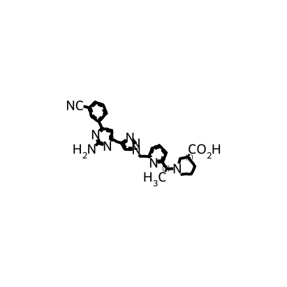 C[C@@H](c1cccc(Cn2cc(-c3cc(-c4cccc(C#N)c4)nc(N)n3)nn2)n1)N1CCC[C@H](C(=O)O)C1